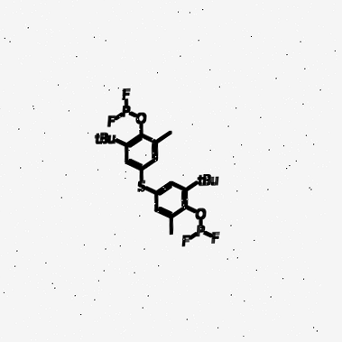 Cc1cc(Sc2cc(C)c(OP(F)F)c(C(C)(C)C)c2)cc(C(C)(C)C)c1OP(F)F